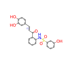 O=C(/C=C/c1ccc(O)c(O)c1)c1ccccc1NS(=O)(=O)c1cccc(O)c1